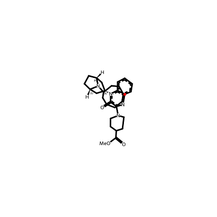 COC(=O)C1CCN(c2nc3ccccc3n([C@H]3C[C@H]4CC[C@@H](C3)N4C3CCCCCCC3)c2=O)CC1